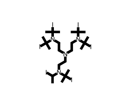 CC(I)N(CCN(CCN(C(C)(C)I)C(C)(C)I)CCN(C(C)(C)I)C(C)(C)I)C(C)(C)I